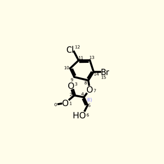 COC(=O)/C(=C\O)Oc1ccc(Cl)cc1Br